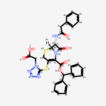 O=C(O)Cn1nnnc1SC1=C(C(=O)OC(c2ccccc2)c2ccccc2)N2C(=O)[C@@H](NC(=O)Cc3ccccc3)[C@H]2SC1